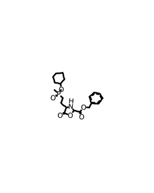 CP(=O)(CCC1NC(C(=O)OCc2ccccc2)OC1=O)OC1CCCCC1